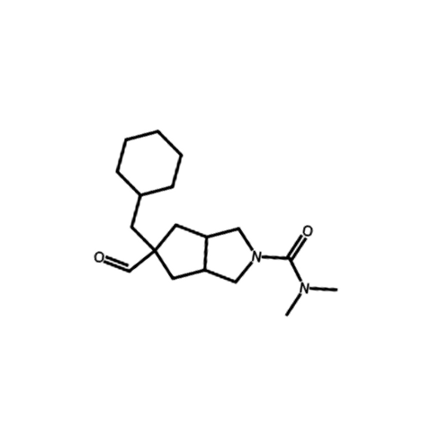 CN(C)C(=O)N1CC2CC(C=O)(CC3CCCCC3)CC2C1